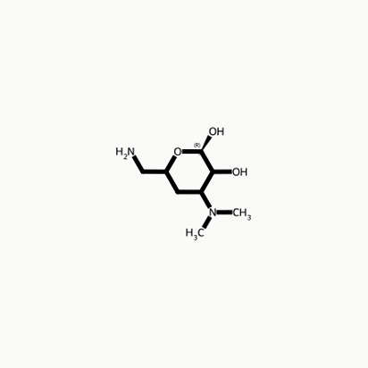 CN(C)C1CC(CN)O[C@@H](O)C1O